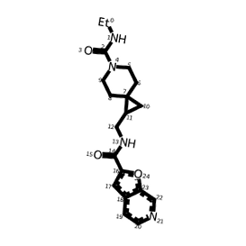 CCNC(=O)N1CCC2(CC1)CC2CNC(=O)c1cc2ccncc2o1